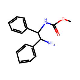 COC(=O)NC(c1ccccc1)C(N)c1ccccc1